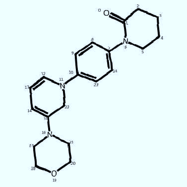 O=C1CCCCN1c1ccc(N2C=CC=C(N3CCOCC3)C2)cc1